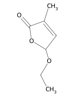 CCOC1C=C(C)C(=O)O1